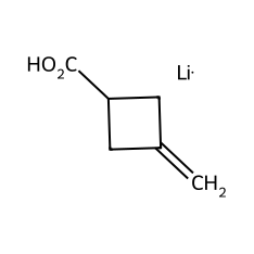 C=C1CC(C(=O)O)C1.[Li]